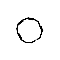 [C]1=CCC=CCCCCC=CCC=C1